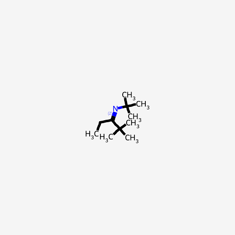 CC/C(=N/C(C)(C)C)C(C)(C)C